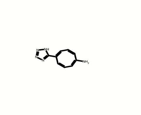 NC1=C/C=C\C(c2nnn[nH]2)=C/C=C\1